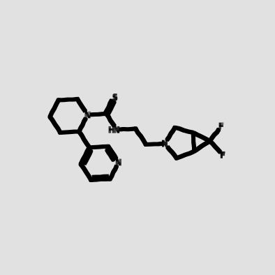 FC1(F)C2CN(CCNC(=S)N3CCCCC3c3cccnc3)CC21